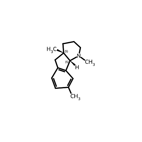 Cc1ccc2c(c1)[C@H]1N(C)CCC[C@@]1(C)C2